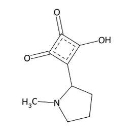 CN1CCCC1c1c(O)c(=O)c1=O